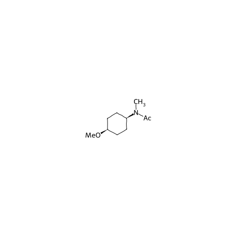 CO[C@H]1CC[C@@H](N(C)C(C)=O)CC1